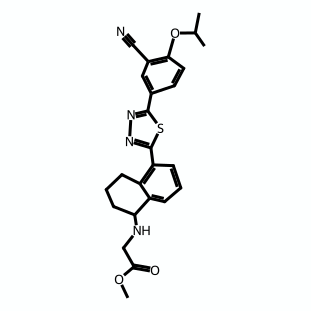 COC(=O)CNC1CCCc2c(-c3nnc(-c4ccc(OC(C)C)c(C#N)c4)s3)cccc21